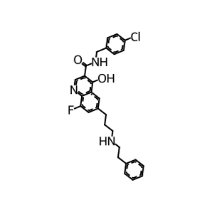 O=C(NCc1ccc(Cl)cc1)c1cnc2c(F)cc(CCCNCCc3ccccc3)cc2c1O